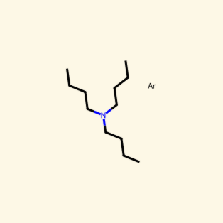 CCCCN(CCCC)CCCC.[Ar]